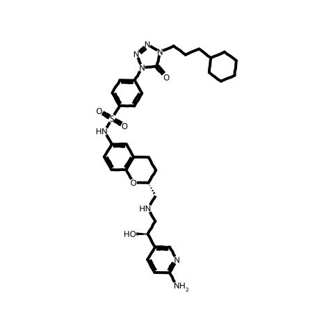 Nc1ccc([C@@H](O)CNC[C@H]2CCc3cc(NS(=O)(=O)c4ccc(-n5nnn(CCCC6CCCCC6)c5=O)cc4)ccc3O2)cn1